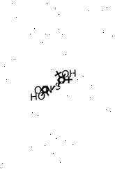 Cc1c(O)c(=O)ccn1CCSc1cc(C(C)(C)C)c(O)c(C(C)(C)C)c1